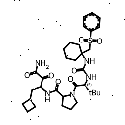 CC(C)(C)[C@H](NC(=O)NC1(CS(=O)(=O)c2ccccc2)CCCCC1)C(=O)N1CCCC1C(=O)NC(CC1CCC1)C(=O)C(N)=O